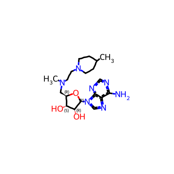 CC1CCN(CCN(C)C[C@H]2O[C@@H](n3cnc4c(N)ncnc43)[C@H](O)[C@@H]2O)CC1